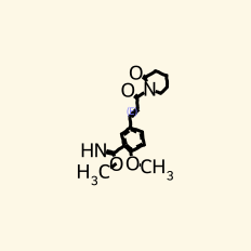 COC(=N)c1cc(/C=C/C(=O)N2CCCCC2=O)ccc1OC